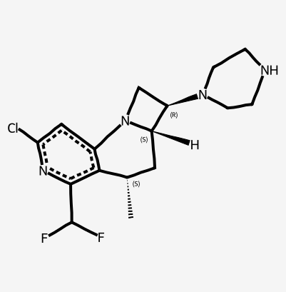 C[C@H]1C[C@H]2[C@H](N3CCNCC3)CN2c2cc(Cl)nc(C(F)F)c21